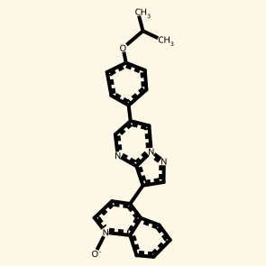 CC(C)Oc1ccc(-c2cnc3c(-c4cc[n+]([O-])c5ccccc45)cnn3c2)cc1